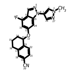 Cn1cc(-n2ncc3c(F)cc(OC4CCCc5cc(C#N)ccc54)cc32)cn1